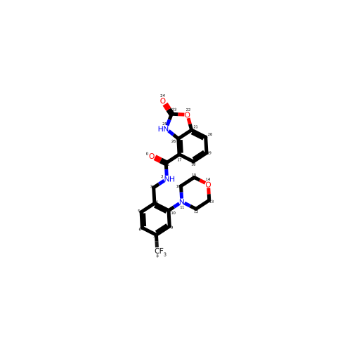 O=C(NCc1ccc(C(F)(F)F)cc1N1CCOCC1)c1cccc2oc(=O)[nH]c12